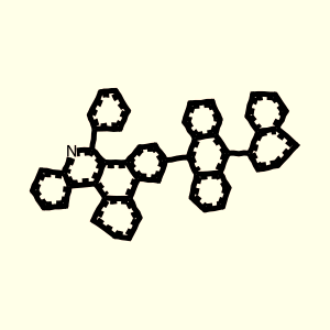 c1ccc(-c2nc3ccccc3c3c4ccccc4c4cc(-c5c6ccccc6c(-c6cccc7ccccc67)c6ccccc56)ccc4c23)cc1